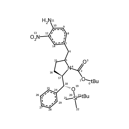 CC(C)(C)OC(=O)N1C(Cc2ccc(N)c([N+](=O)[O-])c2)CC[C@@H]1[C@H](O[Si](C)(C)C(C)(C)C)c1ccccc1